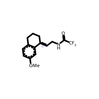 COc1ccc2c(c1)/C(=C/CNC(=O)C(F)(F)F)CCC2